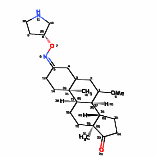 COC1CC2CC(=NO[C@@H]3CCNC3)CC[C@]2(C)[C@@H]2CC[C@]3(C)C(=O)CC[C@H]3[C@H]12